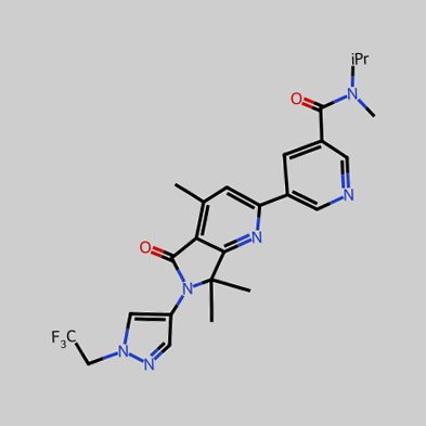 Cc1cc(-c2cncc(C(=O)N(C)C(C)C)c2)nc2c1C(=O)N(c1cnn(CC(F)(F)F)c1)C2(C)C